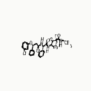 CC(C)C(NC(=O)C(NC(=O)CC(Oc1cccc(Cl)c1)c1ccccc1)c1ccccc1)C(=O)C(F)(F)C(=O)NCC(F)(F)F